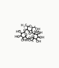 CC1OC(CO)C2C(OC2C2(N)OC(CO)C(O)C(O)C2O)C1OC1OC(CO)C(O)C(O)C1O